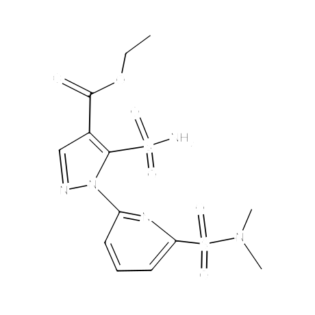 CCOC(=O)c1cnn(-c2cccc(S(=O)(=O)N(C)C)n2)c1S(N)(=O)=O